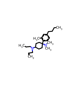 C=CCN(CCC)C1CCC(c2ccc(CCCC)cc2C)(N(C)C)CC1